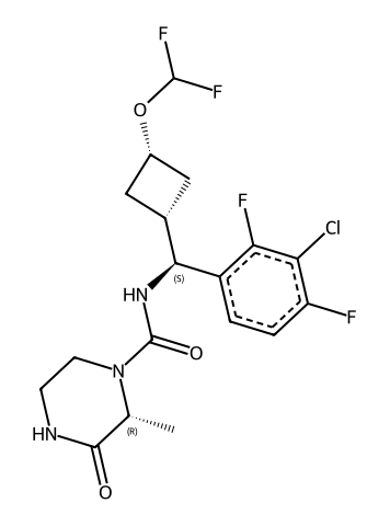 C[C@@H]1C(=O)NCCN1C(=O)N[C@H](c1ccc(F)c(Cl)c1F)[C@H]1C[C@@H](OC(F)F)C1